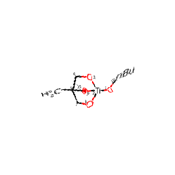 CCCC[O][Ti]12[O]CC(C)(C[O]1)C[O]2